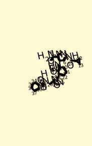 COc1c(Nc2cc(NC(=O)C3CC3)nnc2C(N)=O)cccc1-c1noc(CNS(=O)(=O)c2ccccc2)n1